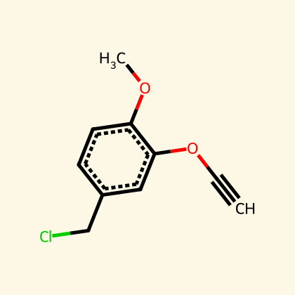 C#COc1cc(CCl)ccc1OC